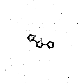 C1=CCC(c2ccc(-c3ncc[nH]3)[nH]2)=C1